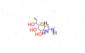 C=CC(O)C1O[C@@H]2SC(N(C)CC)=N[C@@H]2[C@@H](O)[C@@H]1O